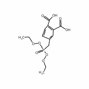 CCOOP(=O)(Cc1ccc(C(=O)O)c(C(=O)O)c1)OOCC